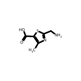 Cc1nc(CN)sc1C(=O)O